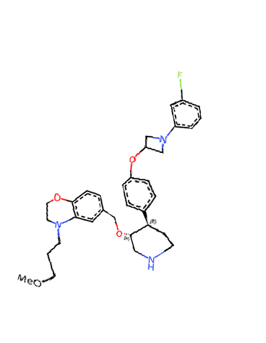 COCCCN1CCOc2ccc(CO[C@H]3CNCC[C@@H]3c3ccc(OC4CN(c5cccc(F)c5)C4)cc3)cc21